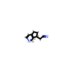 N#CCC1CCc2ccncc21